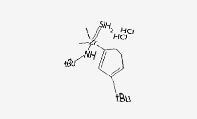 CC(C)(C)[NH][Zr]([CH3])([CH3])(=[SiH2])[C]1=CC(C(C)(C)C)=CC1.Cl.Cl